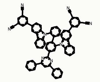 N#Cc1cc(C#N)cc(-c2ccc3c(c2)c2ccccc2n3-c2ccccc2-c2ccc(-c3nc(-c4ccccc4)cc(-c4ccccc4)n3)cc2-n2c3ccccc3c3cc(-c4cc(C#N)cc(C#N)c4)ccc32)c1